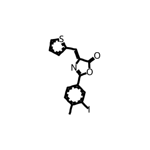 Cc1ccc(C2=N/C(=C\c3cccs3)C(=O)O2)cc1I